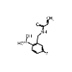 C=CC(=O)NCc1cc(F)ccc1B(O)O